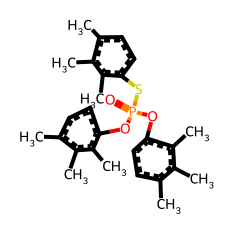 Cc1ccc(OP(=O)(Oc2ccc(C)c(C)c2C)Sc2ccc(C)c(C)c2C)c(C)c1C